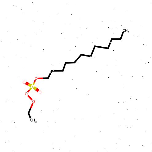 CCCCCCCCCCCCOS(=O)(=O)OOCC